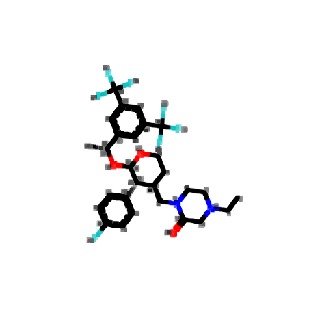 CCN1CCN(C[C@@H]2CCO[C@H](O[C@H](C)c3cc(C(F)(F)F)cc(C(F)(F)F)c3)[C@H]2c2ccc(F)cc2)C(=O)C1